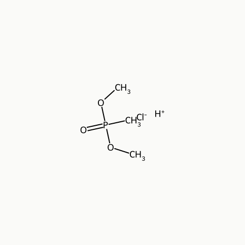 COP(C)(=O)OC.[Cl-].[H+]